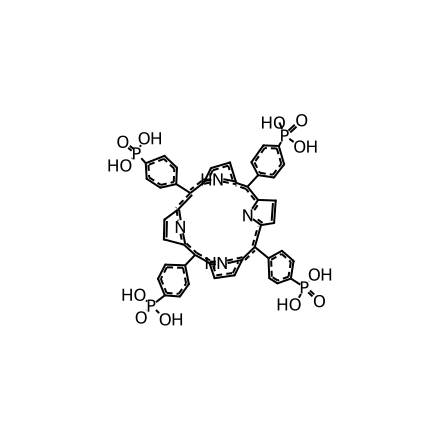 O=P(O)(O)c1ccc(-c2c3nc(c(-c4ccc(P(=O)(O)O)cc4)c4ccc([nH]4)c(-c4ccc(P(=O)(O)O)cc4)c4nc(c(-c5ccc(P(=O)(O)O)cc5)c5ccc2[nH]5)C=C4)C=C3)cc1